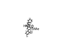 COC(=O)c1cc(-c2ccc(C)cc2Cl)cc2[nH]c(Cc3ccccc3)nc12